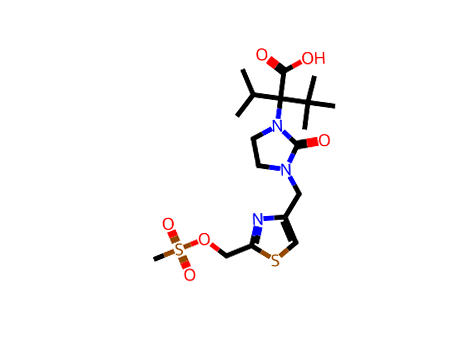 CC(C)C(C(=O)O)(N1CCN(Cc2csc(COS(C)(=O)=O)n2)C1=O)C(C)(C)C